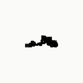 N#Cc1cnn2cc(OCCC3COC4(CNC4)C3)cc(-c3ccc(N4CC5CC(C4)N5C(=O)Nc4ccccc4)nc3)c12